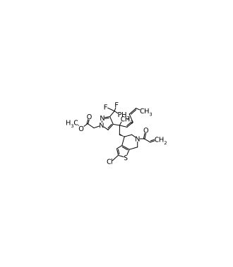 C=CC(=O)N1Cc2sc(Cl)cc2[C@@H](CC(C)(/C=C\C=C/C)c2cn(CC(=O)OC)nc2C(F)(F)P)C1